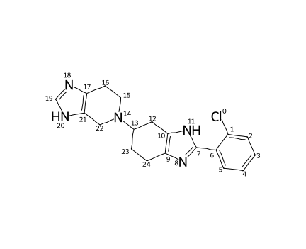 Clc1ccccc1-c1nc2c([nH]1)CC(N1CCc3nc[nH]c3C1)CC2